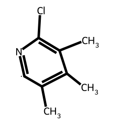 Cc1[c]nc(Cl)c(C)c1C